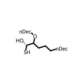 CCCCCCCCCCCCCC(OCCCCCCCCCC)[C@@H](O)S